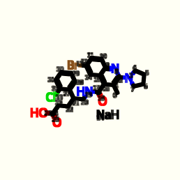 Cc1c(N2CCCC2)nc2ccc(Br)cc2c1C(=O)NCC(CCC(=O)O)c1ccccc1Cl.[NaH]